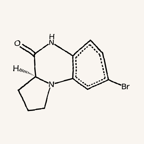 O=C1Nc2ccc(Br)cc2N2CCC[C@@H]12